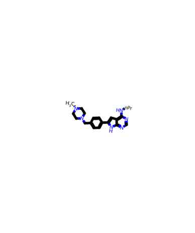 CCCNc1ncnc2[nH]c(-c3ccc(CN4CCN(C)CC4)cc3)cc12